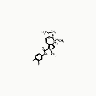 CN=S1(=O)N[C@@H](C(C)C)C=Cc2c1cn(C)c2C(=O)Nc1ccc(F)c(F)c1